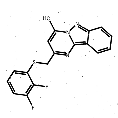 Oc1cc(CSc2cccc(F)c2F)nc2c3ccccc3nn12